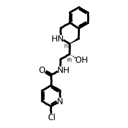 O=C(NC[C@@H](O)[C@@H]1Cc2ccccc2CN1)c1ccc(Cl)nc1